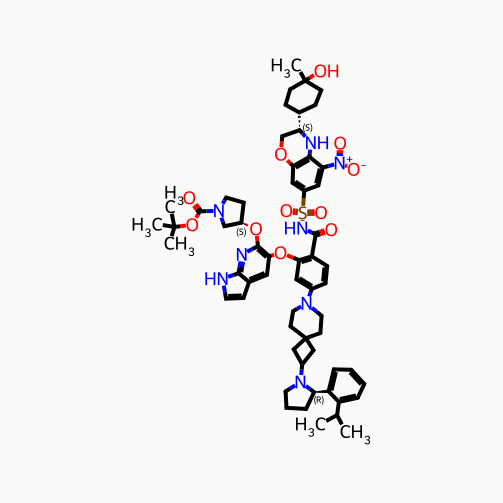 CC(C)c1ccccc1[C@H]1CCCN1C1CC2(CCN(c3ccc(C(=O)NS(=O)(=O)c4cc5c(c([N+](=O)[O-])c4)N[C@@H](C4CCC(C)(O)CC4)CO5)c(Oc4cc5cc[nH]c5nc4O[C@H]4CCN(C(=O)OC(C)(C)C)C4)c3)CC2)C1